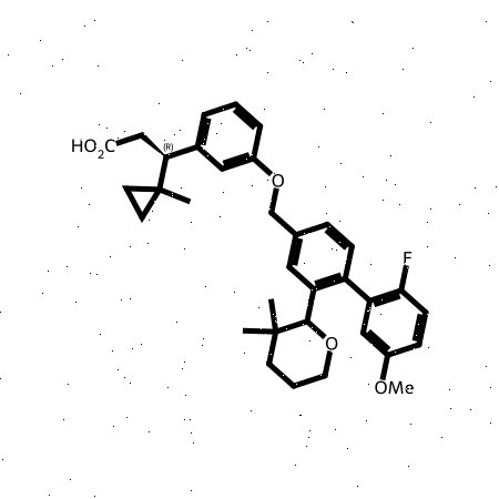 COc1ccc(F)c(-c2ccc(COc3cccc([C@H](CC(=O)O)C4(C)CC4)c3)cc2C2OCCCC2(C)C)c1